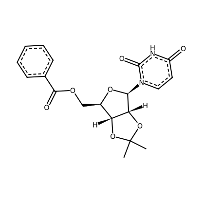 CC1(C)O[C@@H]2[C@H](O1)[C@@H](COC(=O)c1ccccc1)O[C@H]2n1ccc(=O)[nH]c1=O